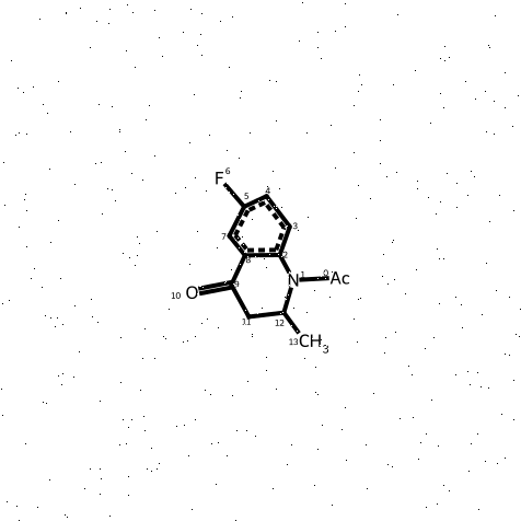 CC(=O)N1c2ccc(F)cc2C(=O)CC1C